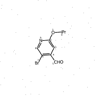 CC(C)Oc1cc(C=O)c(Br)cn1